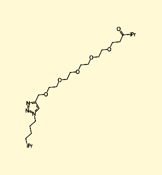 CC(C)CCCCn1cc(COCCOCCOCCOCCOCCC(=O)C(C)C)nn1